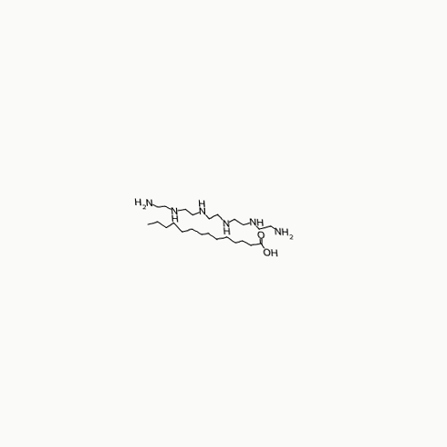 CCCCCCCCCCCCCC(=O)O.NCCNCCNCCNCCNCCN